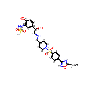 CCCCCCCCc1nc(-c2ccc(S(=O)(=O)N3CCC(CNCC(O)c4ccc(O)c(NS(C)(=O)=O)c4)CC3)cc2)no1